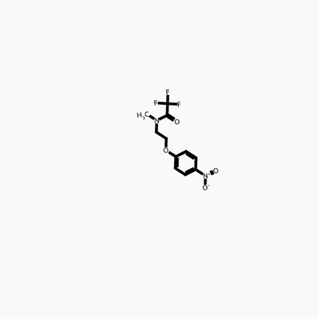 CN(CCOc1ccc([N+](=O)[O-])cc1)C(=O)C(F)(F)F